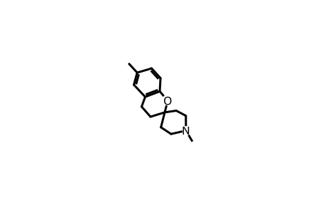 Cc1ccc2c(c1)CCC1(CCN(C)CC1)O2